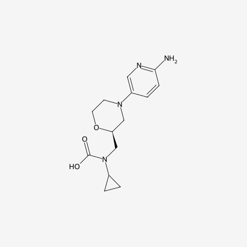 Nc1ccc(N2CCO[C@H](CN(C(=O)O)C3CC3)C2)cn1